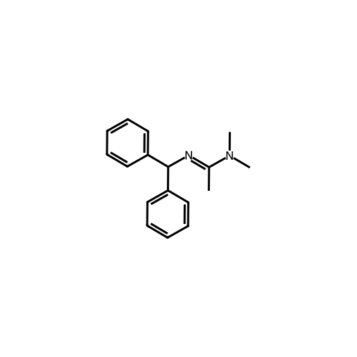 CC(=NC(c1ccccc1)c1ccccc1)N(C)C